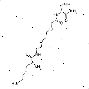 NCCCC[C@H](N)C(=O)NCCOCCOCC(=O)N[C@@H](CO)C(N)=O